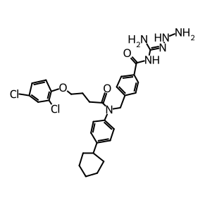 NN/N=C(\N)NC(=O)c1ccc(CN(C(=O)CCCOc2ccc(Cl)cc2Cl)c2ccc(C3CCCCC3)cc2)cc1